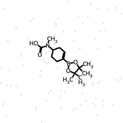 CN(C(=O)O)C1CC=C(B2OC(C)(C)C(C)(C)O2)CC1